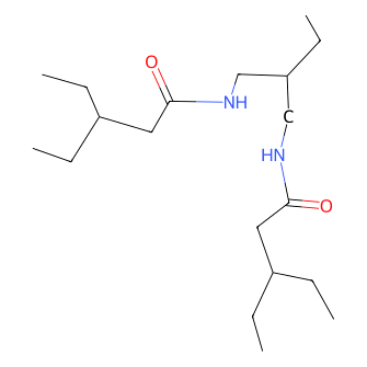 CCC(CNC(=O)CC(CC)CC)CNC(=O)CC(CC)CC